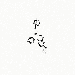 CNC(=O)c1ccc2c(c1)CCN(C(=O)NCC13CCN(CC1)CC3)[C@H]2c1ccc(F)cc1